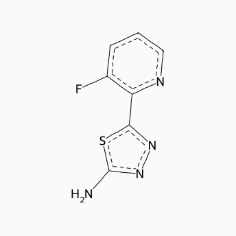 Nc1nnc(-c2ncccc2F)s1